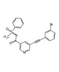 CS(=O)(=NC(=O)c1cncc(C#Cc2cccc(Br)c2)c1)c1ccccc1